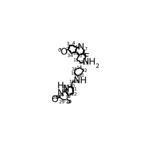 COc1ccc2ncc(F)c(CC(N)[C@H]3CC[C@@H](NCc4ccc5c(n4)NC(=O)CS5)CC3)c2c1